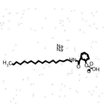 CCCCCCCCCCCCCCCCCCNC(=O)c1ccccc1OS(=O)(=O)O.[Na].[Na]